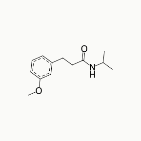 COc1cccc(CCC(=O)NC(C)C)c1